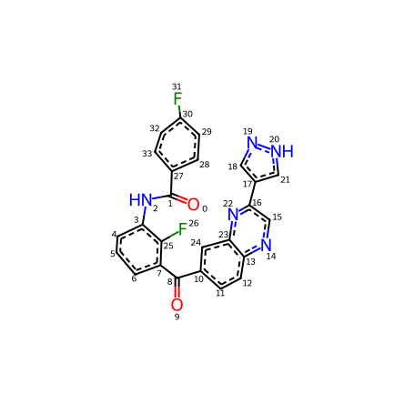 O=C(Nc1cccc(C(=O)c2ccc3ncc(-c4cn[nH]c4)nc3c2)c1F)c1ccc(F)cc1